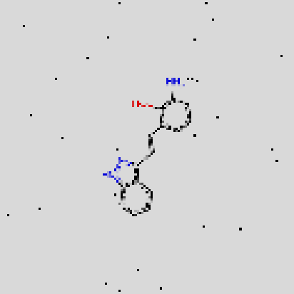 Nc1cccc(C=Cc2n[nH]c3ccccc23)c1O